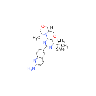 CSC(C)(C)c1nc(-c2ccc3nc(N)ccc3c2)nc2c1OC[C@@H]1COC[C@@H](C)N21